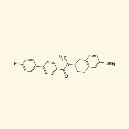 CN(C(=O)c1ccc(-c2ccc(F)cc2)cc1)C1CCc2cc(C#N)ccc2C1